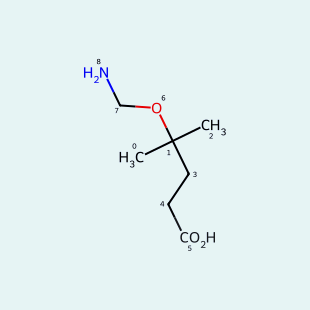 CC(C)(CCC(=O)O)OCN